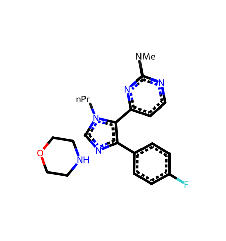 C1COCCN1.CCCn1cnc(-c2ccc(F)cc2)c1-c1ccnc(NC)n1